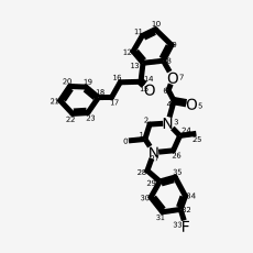 CC1CN(C(=O)COc2ccccc2C(=O)CCc2ccccc2)C(C)CN1Cc1ccc(F)cc1